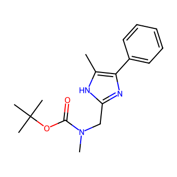 Cc1[nH]c(CN(C)C(=O)OC(C)(C)C)nc1-c1ccccc1